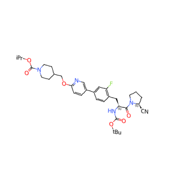 CC(C)OC(=O)N1CCC(COc2ccc(-c3ccc(C[C@H](NC(=O)OC(C)(C)C)C(=O)N4CCC[C@H]4C#N)c(F)c3)cn2)CC1